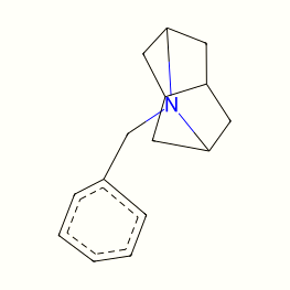 c1ccc(CN2C3CC4CC2CC4C3)cc1